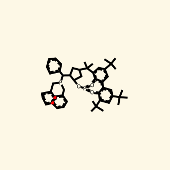 CC(C)(C)c1cc(C(C)(C)C)c2op3oc4c(cc(C(C)(C)C)cc4c2c1)C(C)(C)C1CC(O3)C(C(c2ccccc2)P(Cc2ccccc2)Cc2ccccc2)C1